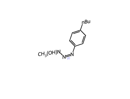 CCCCc1ccc(/N=N\N(C)O)cc1